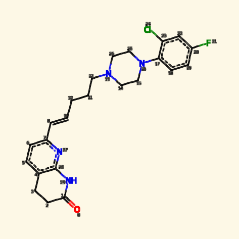 O=C1CCc2ccc(C=CCCCN3CCN(c4ccc(F)cc4Cl)CC3)nc2N1